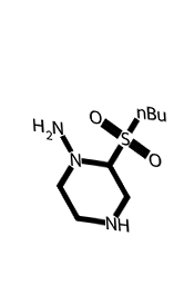 CCCCS(=O)(=O)C1CNCCN1N